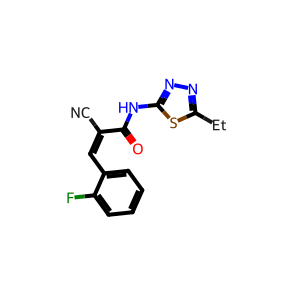 CCc1nnc(NC(=O)C(C#N)=Cc2ccccc2F)s1